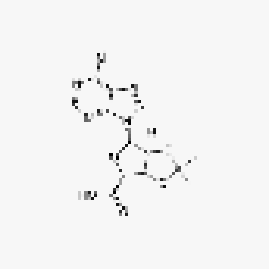 CC1(C)OC2[C@@H](C(=O)O)O[C@@H](n3cnc4c(Cl)ncnc43)[C@H]2O1